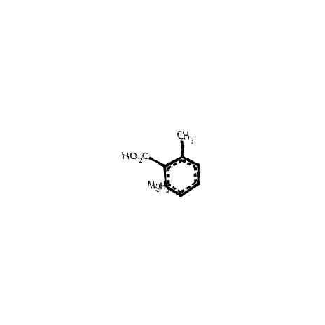 Cc1ccccc1C(=O)O.[MgH2]